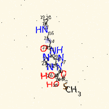 CSC[C@H]1O[C@@H](n2cnc3c(NC(=O)/C=C/CNC4CC4)ncnc32)[C@H](O)[C@@H]1O